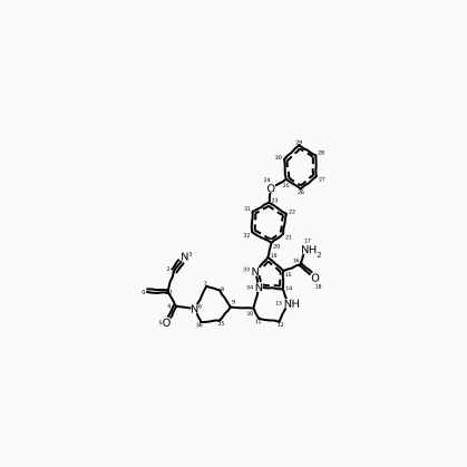 C=C(C#N)C(=O)N1CCC(C2CCNc3c(C(N)=O)c(-c4ccc(Oc5ccccc5)cc4)nn32)CC1